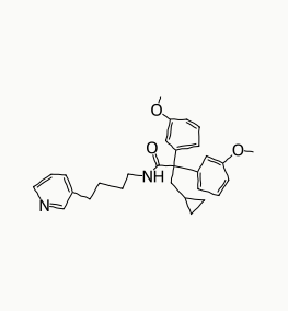 COc1cccc(C(CC2CC2)(C(=O)NCCCCc2cccnc2)c2cccc(OC)c2)c1